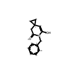 O=C1CC2(C=C(O)N1Cc1ccccc1)CC2